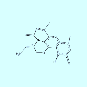 C=C1C=C(C)c2cc3c(C)cc(=O)n(CC)c3c3c2N1[C@@H](CN)CO3